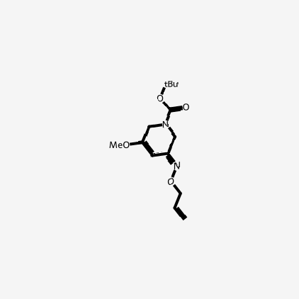 C=CCON=C1C=C(OC)CN(C(=O)OC(C)(C)C)C1